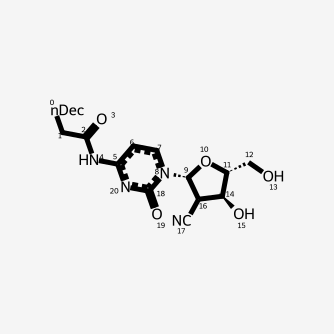 CCCCCCCCCCCC(=O)Nc1ccn([C@@H]2O[C@H](CO)[C@@H](O)C2C#N)c(=O)n1